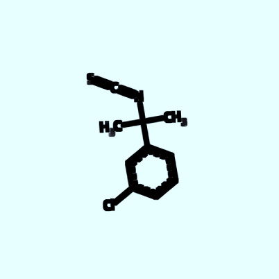 CC(C)(N=C=S)c1cccc(Cl)c1